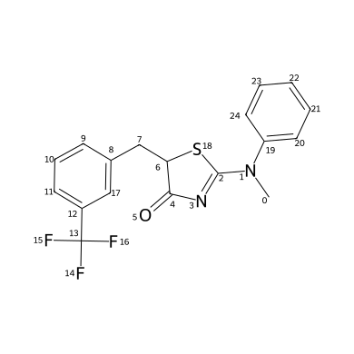 CN(C1=NC(=O)C(Cc2cccc(C(F)(F)F)c2)S1)c1ccccc1